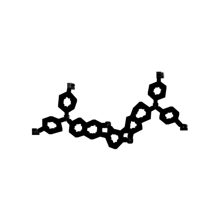 CCc1ccc(N(c2ccc(CC)cc2)c2ccc3cc4c(cc3c2)oc2c4ccc3oc4cc5cc(N(c6ccc(CC)cc6)c6ccc(CC)cc6)ccc5cc4c32)cc1